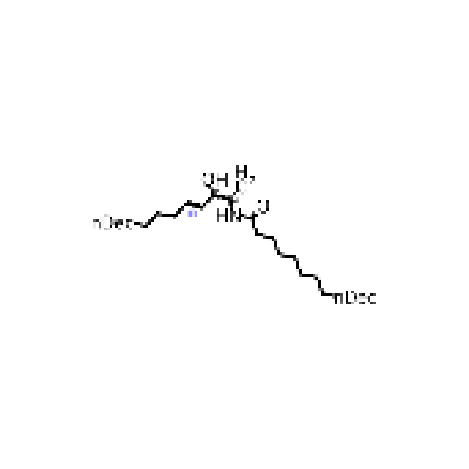 [CH2][C@H](NC(=O)CCCCCCCCCCCCCCCCC)[C@H](O)/C=C/CCCCCCCCCCCCC